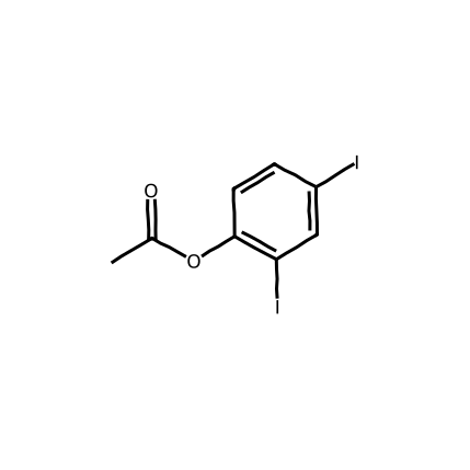 CC(=O)Oc1ccc(I)cc1I